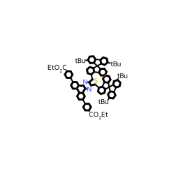 CCOC(=O)c1ccc(-c2ccc3c4ccc(-c5ccc(C(=O)OCC)cc5)cc4c4nc5c(-c6cccc7c6-c6ccccc6C76c7cc(C(C)(C)C)ccc7-c7ccc(C(C)(C)C)cc76)sc(-c6cccc7c6-c6ccccc6C76c7cc(C(C)(C)C)ccc7-c7ccc(C(C)(C)C)cc76)c5nc4c3c2)cc1